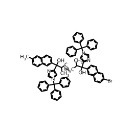 CC(C)C(O)(c1ccc2cc(Br)ccc2c1)c1cn(C(c2ccccc2)(c2ccccc2)c2ccccc2)cn1.Cc1ccc2cc(C(O)(c3cn(C(c4ccccc4)(c4ccccc4)c4ccccc4)cn3)C(C)C)ccc2c1